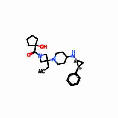 N#CCC1(N2CCC(N[C@@H]3C[C@H]3c3ccccc3)CC2)CN(C(=O)C2(O)CCCC2)C1